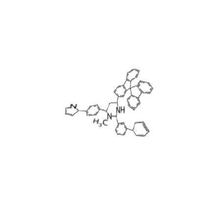 CN1C(c2ccc(C3C=CC=N3)cc2)CC(c2ccc3c(c2)C2(c4ccccc4-c4ccccc42)c2ccccc2-3)NC1c1cccc(C2C=CC=CC2)c1